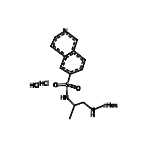 CCCCCCNCC(C)NS(=O)(=O)c1ccc2cnccc2c1.Cl.Cl